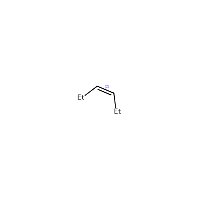 CC/C=C\CC